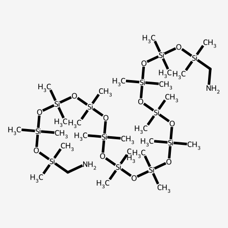 C[Si](C)(CN)O[Si](C)(C)O[Si](C)(C)O[Si](C)(C)O[Si](C)(C)O[Si](C)(C)O[Si](C)(C)O[Si](C)(C)O[Si](C)(C)O[Si](C)(C)O[Si](C)(C)O[Si](C)(C)CN